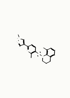 Cc1cccc2c1N(S(=O)(=O)c1ccc(-c3cnn(C)c3)nc1C)CCC2